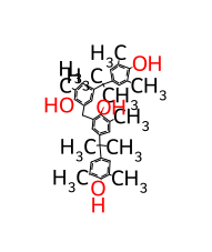 Cc1cc(C(C)(C)c2cc(C)c(O)c(Cc3cc(C(C)(C)c4cc(C)c(O)c(C)c4)cc(C)c3O)c2)cc(C)c1O